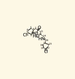 O=P(O)(Cc1ccc(Cl)cc1)CC(O)CNCc1ccc(Cl)cc1